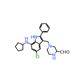 O=CC1CN(Cc2c(-c3ccccc3)[nH]c3c(NC4CCCC4)cc(Cl)cc23)CCN1